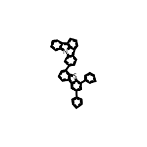 c1ccc(-c2cc(-c3ccccc3)c3sc4c(-c5ccc6c7cccc8c9ccccc9n(c6c5)c87)cccc4c3c2)cc1